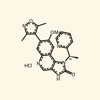 COc1cc2c(cc1-c1c(C)noc1C)ncc1[nH]c(=O)n([C@H](C)c3ccccn3)c12.Cl